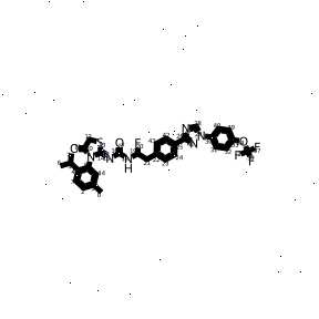 Cc1ccc(C(C)C)c(N2C(=O)CS/C2=N\C(=O)NC(F)Cc2ccc(-c3ncn(-c4ccc(OC(F)(F)F)cc4)n3)cc2)c1